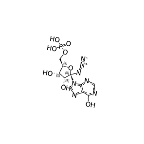 [N-]=[N+]=N[C@@]1(n2cnc3c(O)ncnc32)O[C@H](COP(=O)(O)O)[C@@H](O)[C@H]1O